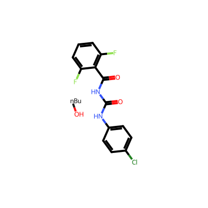 CCCCO.O=C(NC(=O)c1c(F)cccc1F)Nc1ccc(Cl)cc1